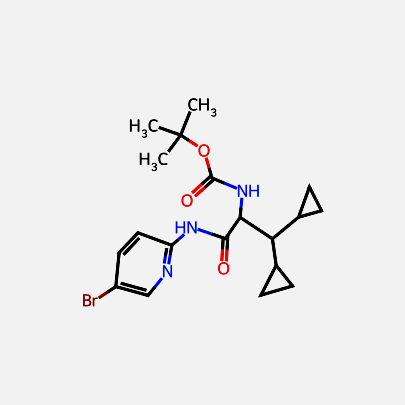 CC(C)(C)OC(=O)NC(C(=O)Nc1ccc(Br)cn1)C(C1CC1)C1CC1